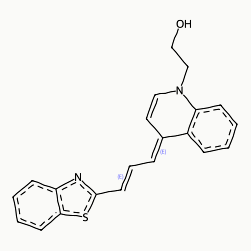 OCCN1C=C/C(=C\C=C\c2nc3ccccc3s2)c2ccccc21